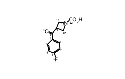 O=C(c1ccc(F)cc1)C1CN(C(=O)O)C1